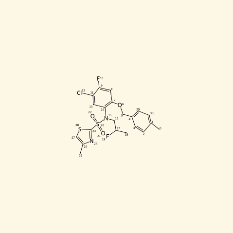 Cc1ccc(COc2cc(F)c(Cl)cc2N(CC(C)F)S(=O)(=O)c2nc(C)cs2)cc1